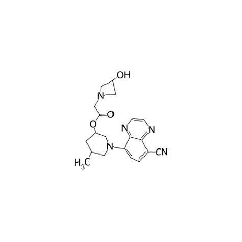 CC1CC(OC(=O)CN2CC(O)C2)CN(c2ccc(C#N)c3nccnc23)C1